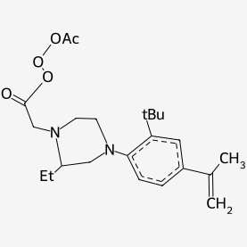 C=C(C)c1ccc(N2CCN(CC(=O)OOOC(C)=O)C(CC)C2)c(C(C)(C)C)c1